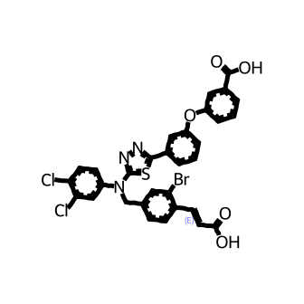 O=C(O)/C=C/c1ccc(CN(c2ccc(Cl)c(Cl)c2)c2nnc(-c3cccc(Oc4cccc(C(=O)O)c4)c3)s2)cc1Br